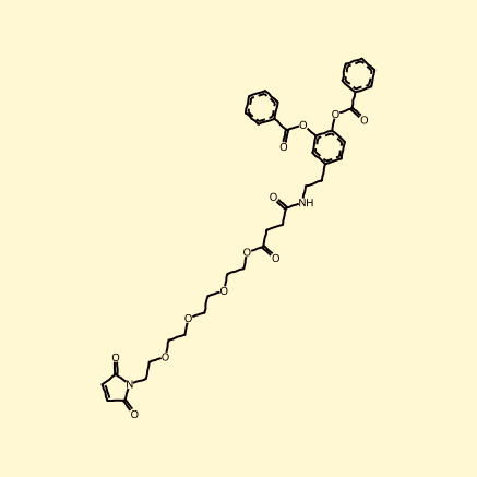 O=C(CCC(=O)OCCOCCOCCOCCN1C(=O)C=CC1=O)NCCc1ccc(OC(=O)c2ccccc2)c(OC(=O)c2ccccc2)c1